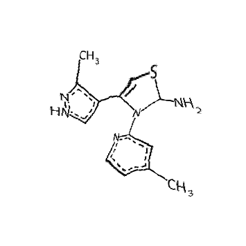 Cc1ccnc(N2C(c3c[nH]nc3C)=CSC2N)c1